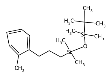 Cc1ccccc1CCC[Si](C)(C)O[Si](C)(C)C(C)(C)C